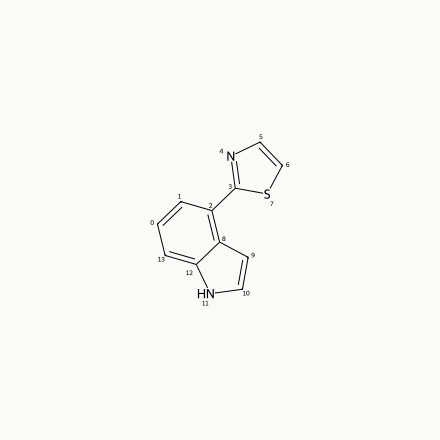 c1cc(-c2nccs2)c2cc[nH]c2c1